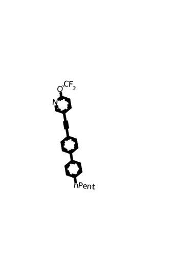 CCCCCc1ccc(-c2ccc(C#Cc3ccc(OC(F)(F)F)nc3)cc2)cc1